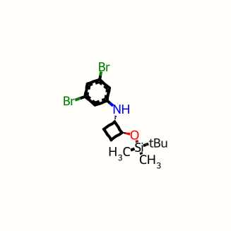 CC(C)(C)[Si](C)(C)O[C@H]1CC[C@@H]1Nc1cc(Br)cc(Br)c1